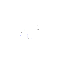 C[N+](C)(C)CCOc1ccc(CCCCNC(=N)NC(=O)c2nc(Cl)c(N)nc2N)cc1.[Cl-]